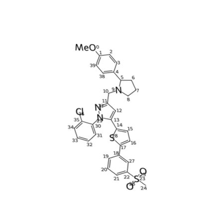 COc1ccc(C2CCCN2Cc2cc(-c3ccc(-c4cccc(S(C)(=O)=O)c4)s3)n(-c3ccccc3Cl)n2)cc1